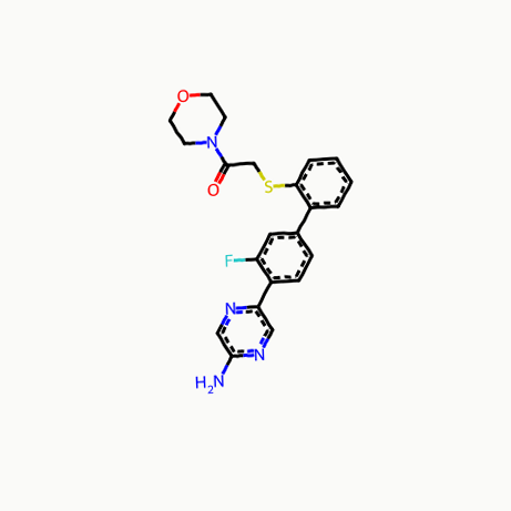 Nc1cnc(-c2ccc(-c3ccccc3SCC(=O)N3CCOCC3)cc2F)cn1